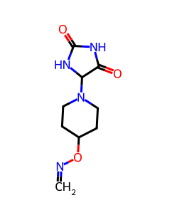 C=NOC1CCN(C2NC(=O)NC2=O)CC1